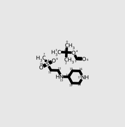 CC(C)(C)OC=O.CS(=O)(=O)CCNC1CCNCC1